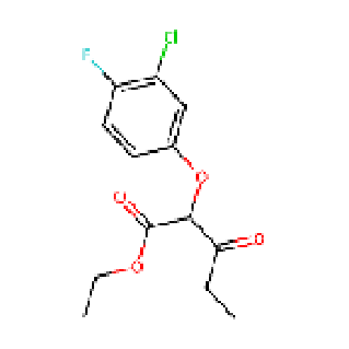 CCOC(=O)C(Oc1ccc(F)c(Cl)c1)C(=O)CC